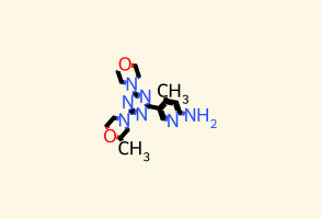 Cc1cc(N)ncc1-c1nc(N2CCOCC2)nc(N2CCOC(C)C2)n1